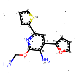 NCOc1nc(-c2cccs2)cc(-c2ccco2)c1N